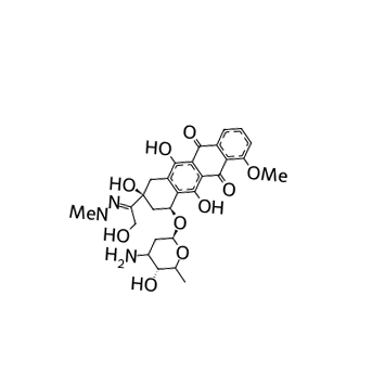 CN/N=C(\CO)[C@]1(O)Cc2c(O)c3c(c(O)c2[C@@H](O[C@@H]2CC(N)[C@@H](O)C(C)O2)C1)C(=O)c1c(OC)cccc1C3=O